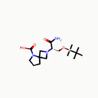 CC(C)(C)[Si](C)(C)OC[C@@H](C(N)=O)N1CC2(CCCN2C(=O)O)C1